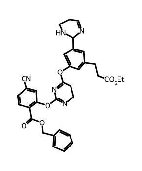 CCOC(=O)CCc1cc(OC2=NC(Oc3cc(C#N)ccc3C(=O)OCc3ccccc3)=NCC2)cc(C2N=CCCN2)c1